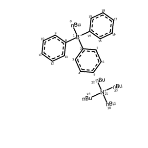 CCCC[B-](c1ccccc1)(c1ccccc1)c1ccccc1.CCCC[N+](CCCC)(CCCC)CCCC